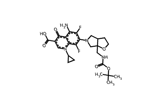 CC(C)(C)OC(=O)NCC12CN(c3c(F)c(N)c4c(=O)c(C(=O)O)cn(C5CC5)c4c3F)CC1CCO2